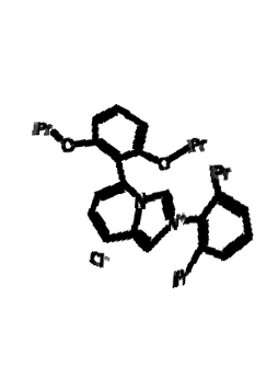 CC(C)Oc1cccc(OC(C)C)c1-c1cccc2c[n+](-c3c(C(C)C)cccc3C(C)C)cn12.[Cl-]